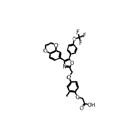 Cc1cc(OCc2nc(-c3ccc4c(c3)OCCO4)c(-c3ccc(OC(F)(F)F)cc3)o2)ccc1OCC(=O)O